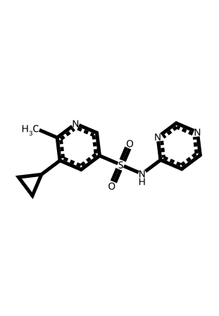 Cc1ncc(S(=O)(=O)Nc2ccncn2)cc1C1CC1